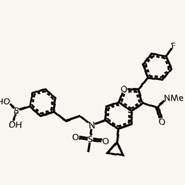 CNC(=O)c1c(-c2ccc(F)cc2)oc2cc(N(CCc3cccc(B(O)O)c3)S(C)(=O)=O)c(C3CC3)cc12